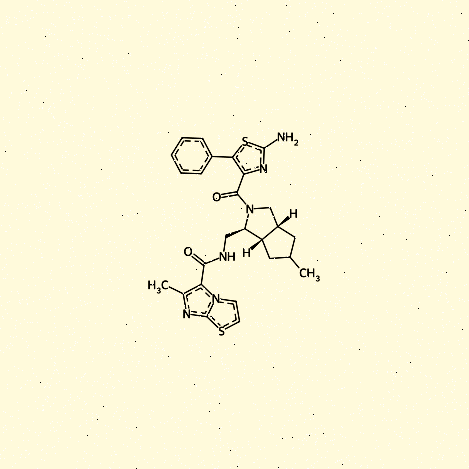 Cc1nc2sccn2c1C(=O)NC[C@@H]1[C@H]2CC(C)C[C@H]2CN1C(=O)c1nc(N)sc1-c1ccccc1